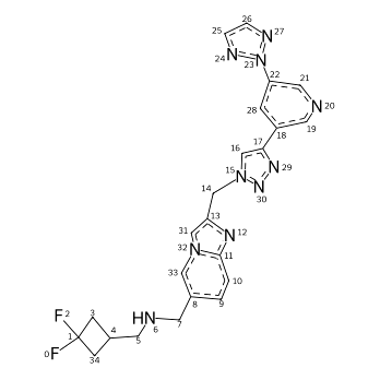 FC1(F)CC(CNCc2ccc3nc(Cn4cc(-c5cncc(-n6nccn6)c5)nn4)cn3c2)C1